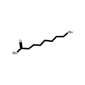 CC(C)(C)CCCCCCCC(=O)C(C)(C)C